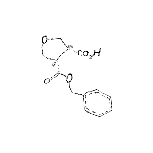 O=C(O)[C@H]1COC[C@H]1C(=O)OCc1ccccc1